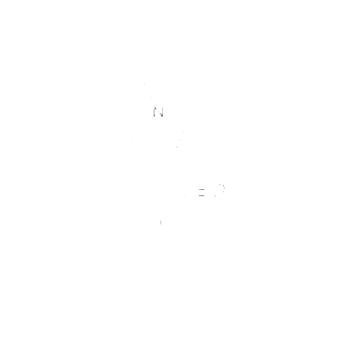 CC(C)OC(=O)C1CN(C)C1